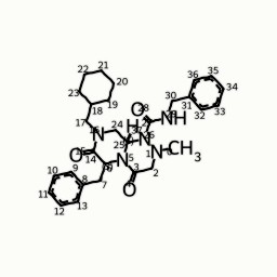 CN1CC(=O)N2[C@@H](Cc3ccccc3)C(=O)N(CC3CCCCC3)C[C@@H]2N1C(=O)NCc1ccccc1